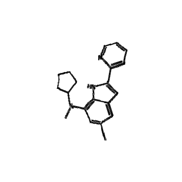 Cc1cc(N(C)C2CCCC2)c2[nH]c(-c3ccccn3)cc2c1